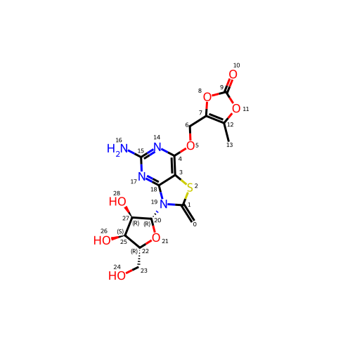 C=C1Sc2c(OCc3oc(=O)oc3C)nc(N)nc2N1[C@@H]1O[C@H](CO)[C@@H](O)[C@H]1O